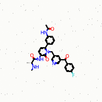 CN[C@H](C)C(=O)Nc1ccc(-c2cccc(NC(C)=O)c2)n(Cc2cncc(C(=O)c3ccc(F)cc3)c2)c1=O